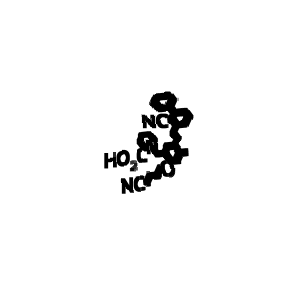 Cc1cc(OCCCCC#N)c(CN2CCCCC2C(=O)O)cc1C=Cc1cccc(-c2ccccc2)c1C#N